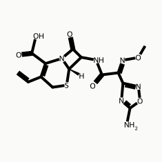 C=CC1=C(C(=O)O)N2C(=O)C(NC(=O)C(=NOC)c3noc(N)n3)[C@@H]2SC1